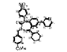 COc1ccc(CN2N=C(C3CCCCC3)c3cc(-c4cccnc4)ccc3N(c3ccc([N+](=O)[O-])cc3)C2=O)cc1